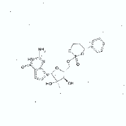 C[C@@]1(O)[C@H](O)[C@@H](COP2(=O)OCC[C@H](c3ccccc3)O2)O[C@H]1n1ccc2c(=O)[nH]c(N)nc21